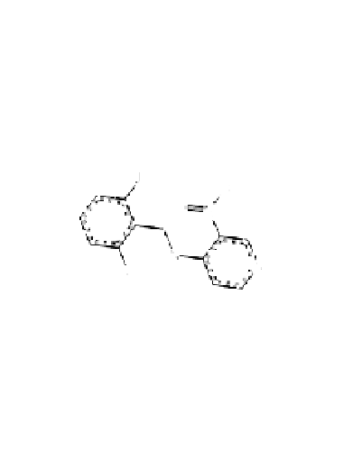 O=[N+]([O-])c1cnccc1NCc1c(F)cccc1F